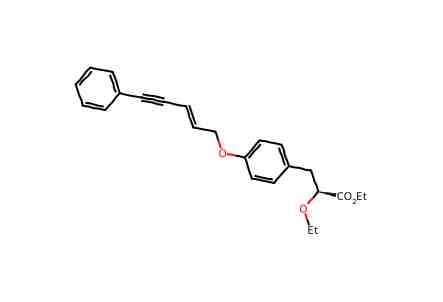 CCOC(=O)[C@H](Cc1ccc(OC/C=C/C#Cc2ccccc2)cc1)OCC